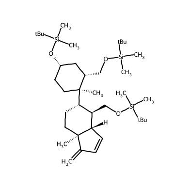 C=C1C=C[C@H]2[C@H](CO[Si](C)(C)C(C)(C)C)[C@@H]([C@@]3(C)CC[C@H](O[Si](C)(C)C(C)(C)C)C[C@@H]3CO[Si](C)(C)C(C)(C)C)CC[C@]12C